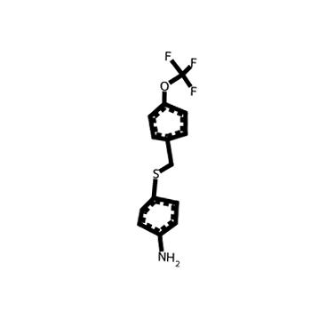 Nc1ccc(SCc2ccc(OC(F)(F)F)cc2)cc1